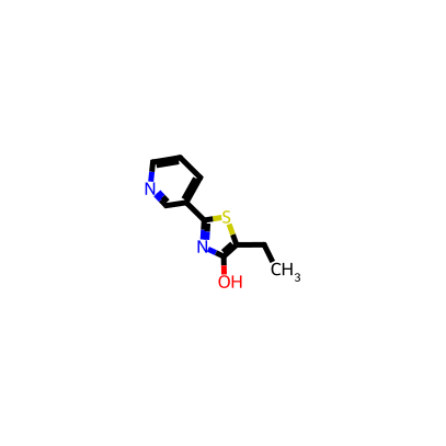 CCc1sc(-c2cccnc2)nc1O